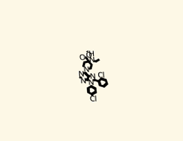 CCNC1(C(=O)OC)CCN(c2ncnc3c2nc(-c2ccccc2Cl)n3-c2ccc(Cl)cc2)CC1